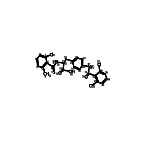 Cc1cccc(Cl)c1C(=S)N[C@@H](Cc1ccc(NC(=O)c2c(Cl)cccc2Cl)cc1)C(=O)O